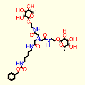 C[C@@H]1O[C@@H](OCCNC(=O)CN(CC(=O)NCCCCCNC(=O)OCc2ccccc2)CC(=O)NCCO[C@@H]2O[C@@H](C)[C@@H](O)[C@@H](O)[C@@H]2O)[C@@H](O)[C@H](O)[C@@H]1O